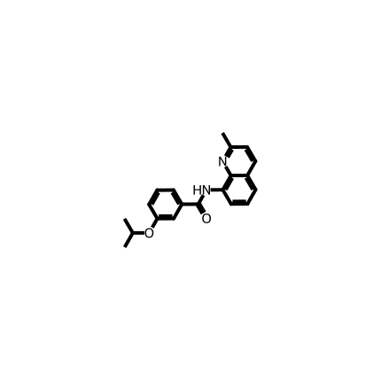 Cc1ccc2cccc(NC(=O)c3cccc(OC(C)C)c3)c2n1